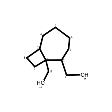 OCC1CCCCC2CCC12CO